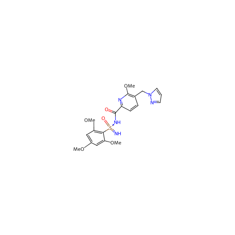 COc1cc(OC)c([S@@](=N)(=O)NC(=O)c2ccc(Cn3cccn3)c(OC)n2)c(OC)c1